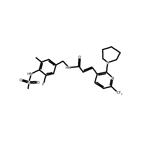 Cc1cc(CNC(=O)/C=C/c2ccc(C(F)(F)F)nc2N2CCCCC2)cc(F)c1NS(C)(=O)=O